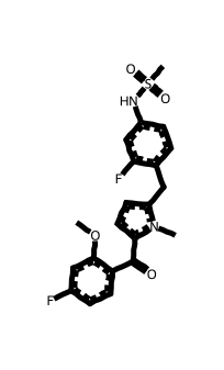 COc1cc(F)ccc1C(=O)c1ccc(Cc2ccc(NS(C)(=O)=O)cc2F)n1C